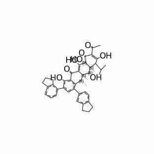 CC(=O)C1=C(O)C(C(C)C)[C@@]2(C)[C@H](O)[C@]3(C)C(=C(O)[C@@]2(O)C1=O)C(=O)c1c(O)c(-c2cccc4c2CCC4)cc(-c2ccc4c(c2)CCC4)c1[C@H]3C